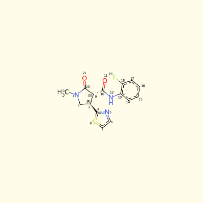 CN1C[C@H](c2nccs2)[C@@H](C(=O)Nc2ccccc2F)C1=O